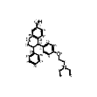 CCN(CC)CCOc1ccc(C2c3ccc(O)cc3OCC2c2ccccc2)cc1